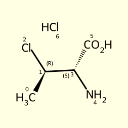 C[C@@H](Cl)[C@@H](N)C(=O)O.Cl